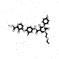 CCOCCn1cc(C(=O)Nc2ccc(Oc3ccnc(C(N)=O)c3Cl)c(F)c2)c(=O)n(-c2ccc(F)cc2)c1=O